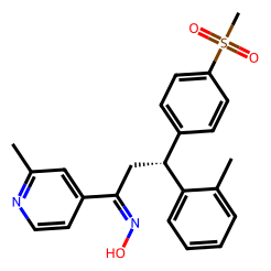 Cc1cc(/C(C[C@H](c2ccc(S(C)(=O)=O)cc2)c2ccccc2C)=N\O)ccn1